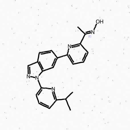 C/C(=N\O)c1cccc(-c2ccc3cnn(-c4cccc(C(C)C)n4)c3c2)n1